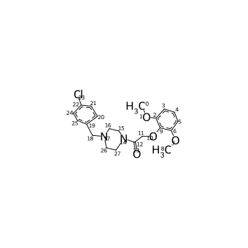 COc1cccc(OC)c1OCC(=O)N1CCN(Cc2ccc(Cl)cc2)CC1